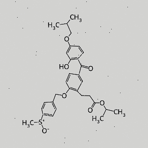 CC(C)COc1ccc(C(=O)c2ccc(OCc3ccc([S+](C)[O-])cc3)c(CCC(=O)OC(C)C)c2)c(O)c1